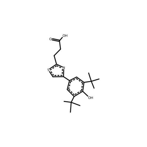 CC(C)(C)c1cc(-c2csc(CCC(=O)O)n2)cc(C(C)(C)C)c1O